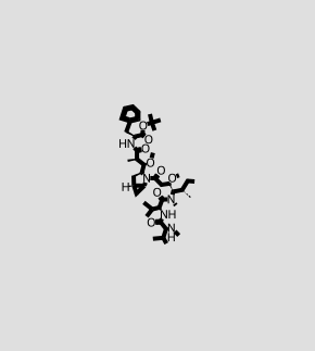 CC[C@H](C)[C@@H](C(CC(=O)N1C2C[C@H]2C[C@H]1[C@H](OC)[C@@H](C)C(=O)N[C@@H](Cc1ccccc1)C(=O)OC(C)(C)C)OC)N(C)C(=O)[C@@H](NC(=O)[C@@H](NC)C(C)C)C(C)C